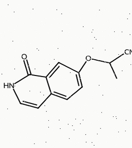 CC(C#N)Oc1ccc2cc[nH]c(=O)c2c1